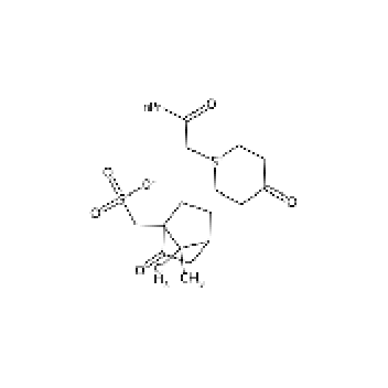 CC1(C)C2CCC1(CS(=O)(=O)[O-])C(=O)C2.CCCC(=O)C[S+]1CCC(=O)CC1